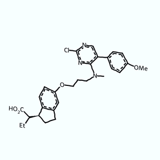 CCC(C(=O)O)[C@@H]1CCc2cc(OCCCN(C)c3nc(Cl)ncc3-c3ccc(OC)cc3)ccc21